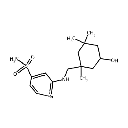 CC1(C)CC(O)CC(C)(CNc2cc(S(N)(=O)=O)ccn2)C1